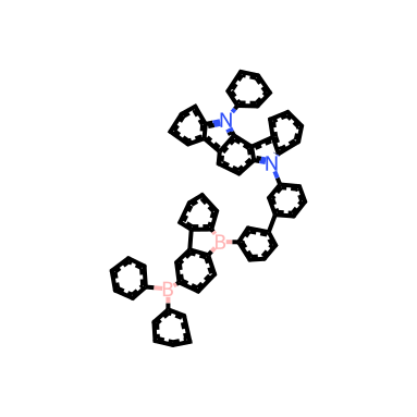 c1ccc(B(c2ccccc2)c2ccc3c(c2)-c2ccccc2B3c2cccc(-c3cccc(-n4c5ccccc5c5c4ccc4c6ccccc6n(-c6ccccc6)c45)c3)c2)cc1